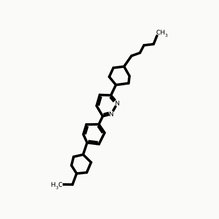 CCCCCC1CCC(c2ccc(-c3ccc(C4CCC(CC)CC4)cc3)nn2)CC1